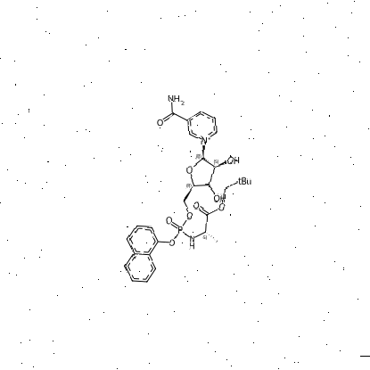 C[C@H](NP(=O)(OC[C@H]1O[C@@H]([n+]2cccc(C(N)=O)c2)[C@@H](O)C1O)Oc1cccc2ccccc12)C(=O)OCC(C)(C)C